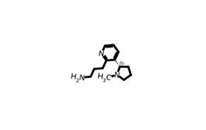 CN1CCC[C@H]1c1cccnc1CCCN